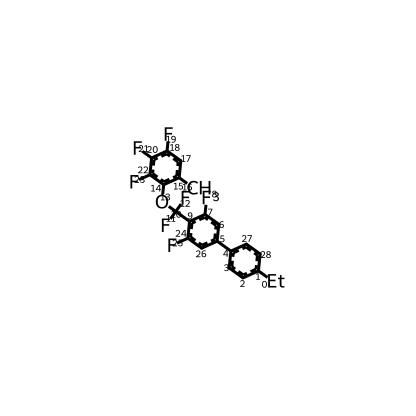 CCc1ccc(-c2cc(F)c(C(F)(F)Oc3c(C)cc(F)c(F)c3F)c(F)c2)cc1